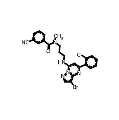 CN(CCCNc1cc(-c2ccccc2Cl)nc2c(Br)cnn12)C(=O)c1cccc(C#N)c1